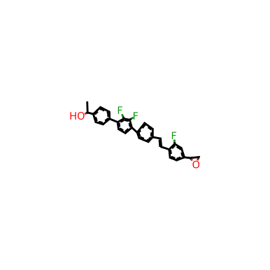 CC(O)c1ccc(-c2ccc(-c3ccc(/C=C/c4ccc(C5CO5)cc4F)cc3)c(F)c2F)cc1